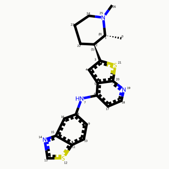 C[C@@H]1[C@@H](c2cc3c(Nc4ccc5scnc5c4)ccnc3s2)CCCN1C